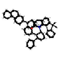 CC1(C)c2ccccc2-c2c(N(c3ccc(-c4ccc5c(ccc6ccccc65)c4)cc3)c3cccc(-c4ccccc4)c3-c3ccccc3-c3ccccc3)cccc21